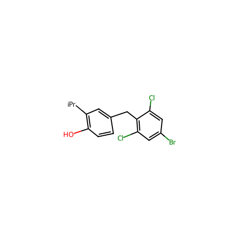 CC(C)c1cc(Cc2c(Cl)cc(Br)cc2Cl)ccc1O